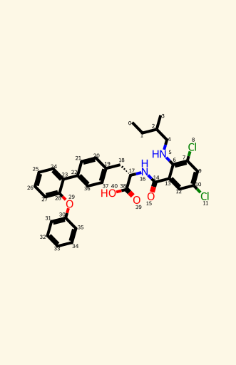 CCC(C)CNc1c(Cl)cc(Cl)cc1C(=O)N[C@@H](Cc1ccc(-c2ccccc2Oc2ccccc2)cc1)C(=O)O